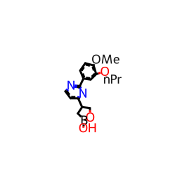 CCCOc1cc(-c2nccc(C3COB(O)C3)n2)ccc1OC